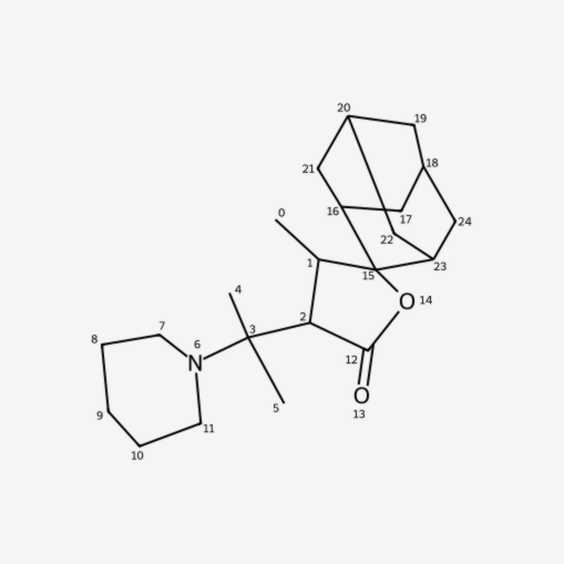 CC1C(C(C)(C)N2CCCCC2)C(=O)OC12C1CC3CC(C1)CC2C3